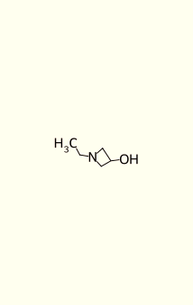 CCN1CC(O)C1